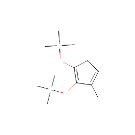 CC1=CCC(O[Si](C)(C)C)=C1O[Si](C)(C)C